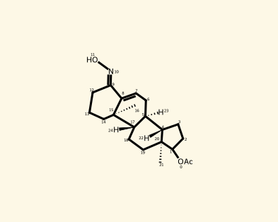 CC(=O)OC1CC[C@H]2[C@@H]3CC=C4/C(=N/O)CCC[C@]4(C)[C@H]3CC[C@]12C